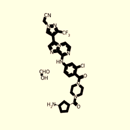 N#CCn1cc(-c2cnc3c(Nc4ccc(C(=O)N5CCN(C(=O)[C@@H]6CC[C@H](N)C6)CC5)c(Cl)c4)nccn23)c(C(F)(F)F)n1.O=CO